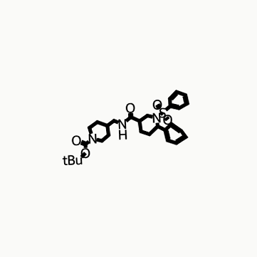 CC(C)(C)OC(=O)N1CCC(CNC(=O)C2CCC(c3ccccc3)N(S(=O)(=O)c3ccccc3)C2)CC1